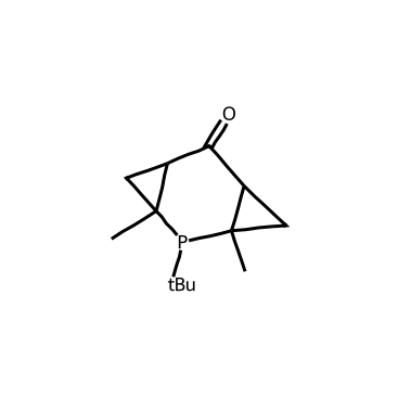 CC(C)(C)P1C2(C)CC2C(=O)C2CC21C